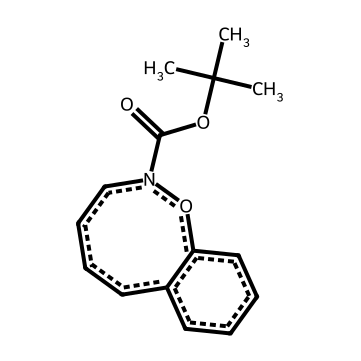 CC(C)(C)OC(=O)n1ccccc2ccccc2o1